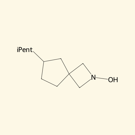 CCCC(C)C1CCC2(C1)CN(O)C2